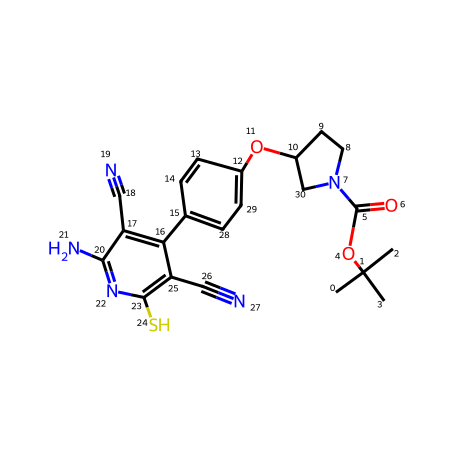 CC(C)(C)OC(=O)N1CCC(Oc2ccc(-c3c(C#N)c(N)nc(S)c3C#N)cc2)C1